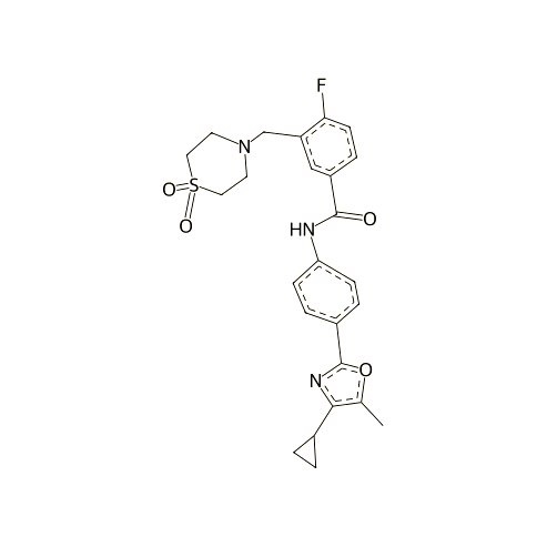 Cc1oc(-c2ccc(NC(=O)c3ccc(F)c(CN4CCS(=O)(=O)CC4)c3)cc2)nc1C1CC1